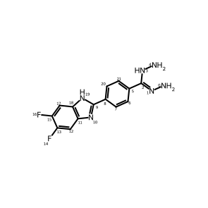 N/N=C(\NN)c1ccc(-c2nc3cc(F)c(F)cc3[nH]2)cc1